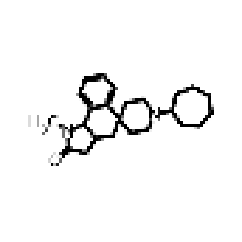 CN1C(=O)CC2CC3(CCN(C4CCCCCC4)CC3)c3ccccc3C21